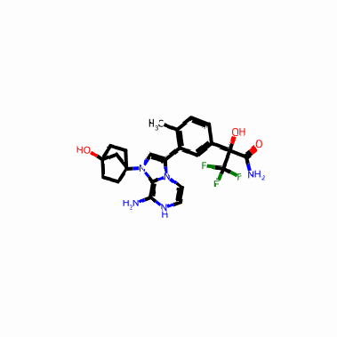 Cc1ccc(C(O)(C(N)=O)C(F)(F)F)cc1C1=CN(C23CCC(O)(CC2)C3)C2=C(N)NC=CN12